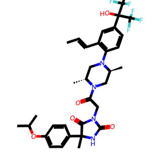 CC=Cc1cc(C(O)(C(F)(F)F)C(F)(F)F)ccc1N1C[C@@H](C)N(C(=O)CN2C(=O)NC(C)(c3ccc(OC(C)C)cc3)C2=O)C[C@@H]1C